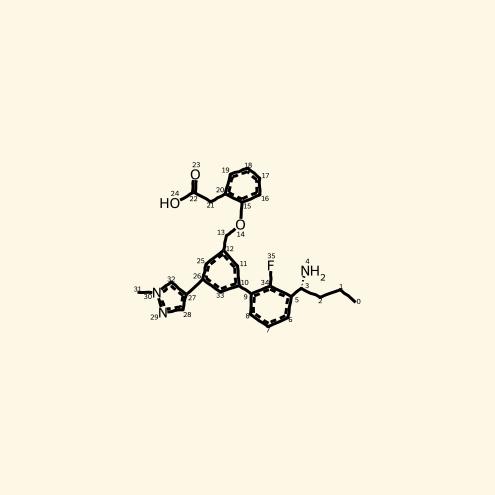 CCC[C@@H](N)c1cccc(-c2cc(COc3ccccc3CC(=O)O)cc(-c3cnn(C)c3)c2)c1F